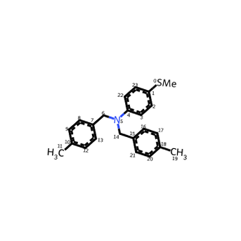 CSc1ccc(N(Cc2ccc(C)cc2)Cc2ccc(C)cc2)cc1